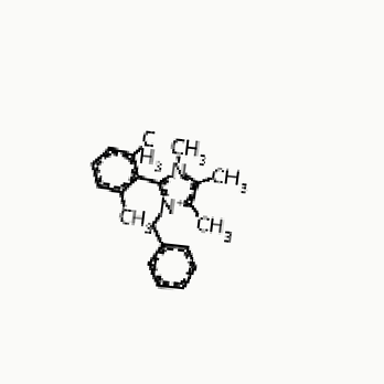 Cc1cccc(C)c1-c1n(C)c(C)c(C)[n+]1Cc1ccccc1